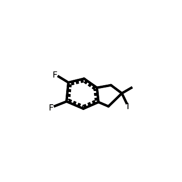 CC1(I)Cc2cc(F)c(F)cc2C1